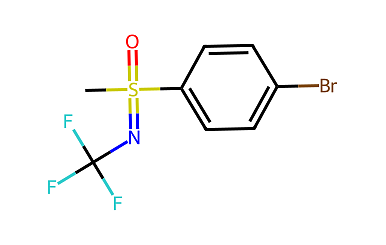 CS(=O)(=NC(F)(F)F)c1ccc(Br)cc1